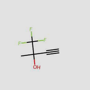 C#CC(C)(O)C(F)(F)F